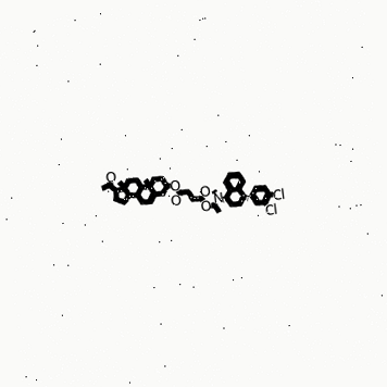 CC(=O)C1CCC2C3CC=C4CC(OC(=O)CCC(=O)OC(C)N(C)[C@H]5CC[C@@H](c6ccc(Cl)c(Cl)c6)c6ccccc65)CCC4(C)C3CCC12C